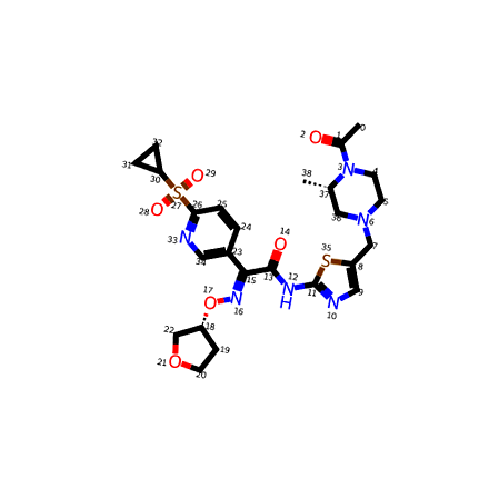 CC(=O)N1CCN(Cc2cnc(NC(=O)/C(=N/O[C@@H]3CCOC3)c3ccc(S(=O)(=O)C4CC4)nc3)s2)C[C@@H]1C